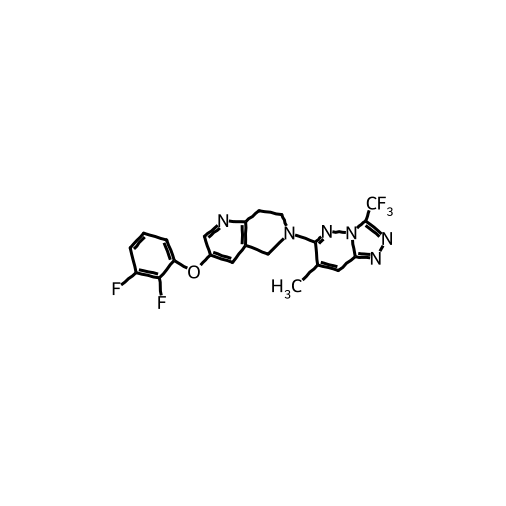 Cc1cc2nnc(C(F)(F)F)n2nc1N1CCc2ncc(Oc3cccc(F)c3F)cc2C1